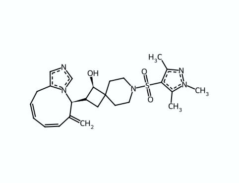 C=C1/C=C\C=C/Cc2cncn2[C@H]1C1CC2(CCN(S(=O)(=O)c3c(C)nn(C)c3C)CC2)[C@@H]1O